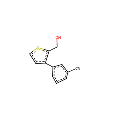 N#Cc1cccc(-c2ccsc2CO)c1